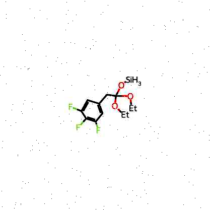 CCOC(Cc1cc(F)c(F)c(F)c1)(O[SiH3])OCC